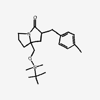 Cc1ccc(CC2CC3(CO[Si](C)(C)C(C)(C)C)CCCN3C2=O)cc1